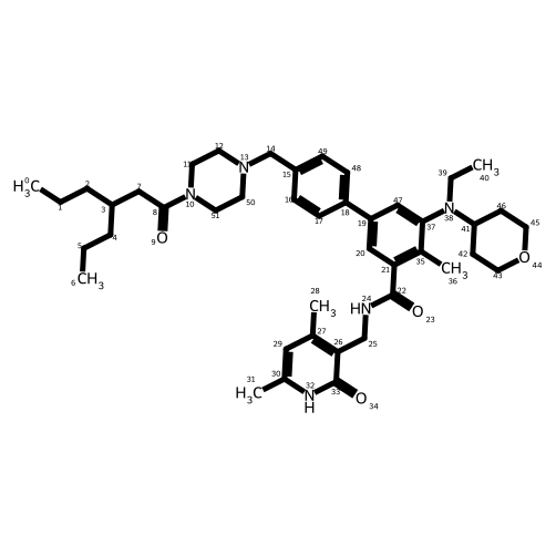 CCCC(CCC)CC(=O)N1CCN(Cc2ccc(-c3cc(C(=O)NCc4c(C)cc(C)[nH]c4=O)c(C)c(N(CC)C4CCOCC4)c3)cc2)CC1